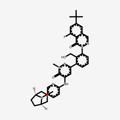 CN1C[C@H]2CC[C@@H](C1)N2c1ccc(Nc2cc(-c3cccc(-n4ncc5cc(C(C)(C)C)cc(F)c5c4=O)c3CO)nn(C)c2=O)nc1